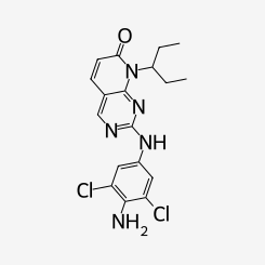 CCC(CC)n1c(=O)ccc2cnc(Nc3cc(Cl)c(N)c(Cl)c3)nc21